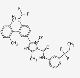 CCC(F)(F)c1cccc(NC(=O)c2c(C)[nH]c(-c3ccc(OC(F)F)c(-c4c(C)cccc4C)c3)[n+]2[O-])c1